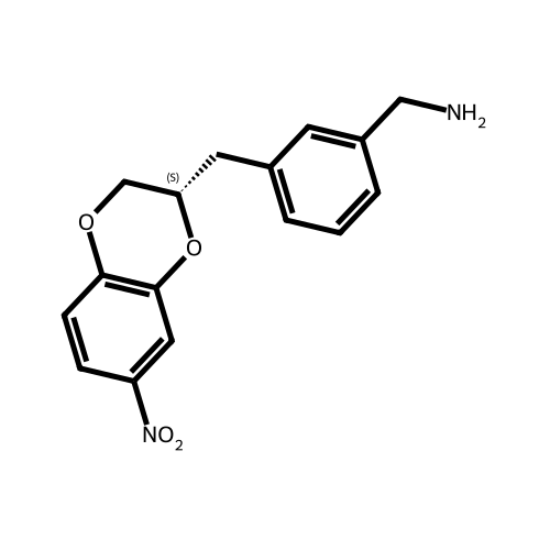 NCc1cccc(C[C@H]2COc3ccc([N+](=O)[O-])cc3O2)c1